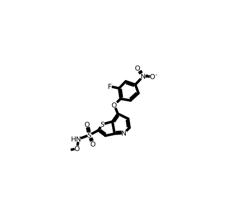 CONS(=O)(=O)c1cc2nccc(Oc3ccc([N+](=O)[O-])cc3F)c2s1